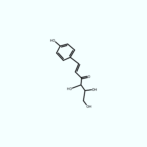 O=C(C=Cc1ccc(O)cc1)C(O)C(O)CO